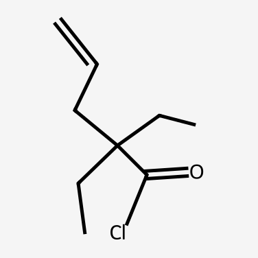 C=CCC(CC)(CC)C(=O)Cl